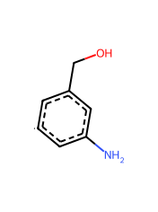 Nc1c[c]cc(CO)c1